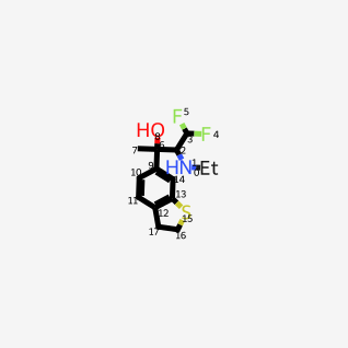 CCNC(C(F)F)C(C)(O)c1ccc2c(c1)SCC2